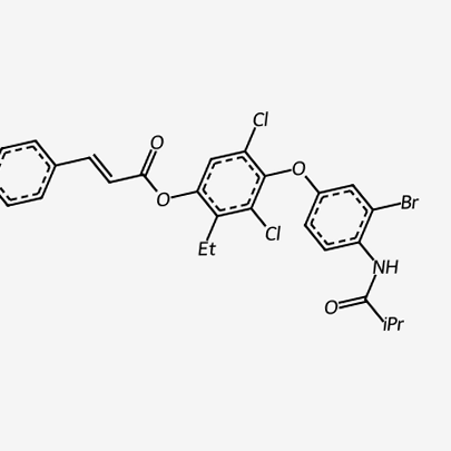 CCc1c(OC(=O)C=Cc2ccccc2)cc(Cl)c(Oc2ccc(NC(=O)C(C)C)c(Br)c2)c1Cl